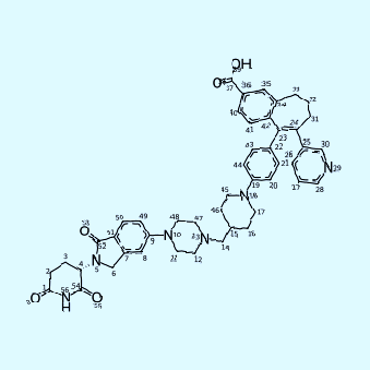 O=C1CC[C@H](N2Cc3cc(N4CCN(CC5CCN(c6ccc(C7=C(c8cccnc8)CCCc8cc(C(=O)O)ccc87)cc6)CC5)CC4)ccc3C2=O)C(=O)N1